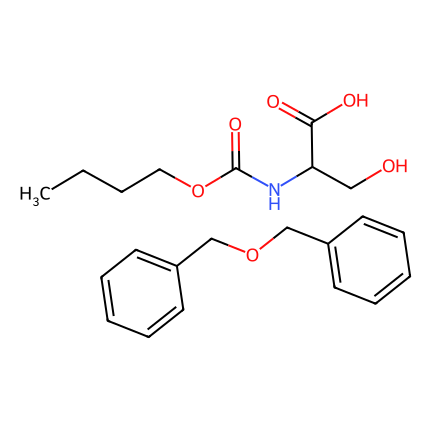 CCCCOC(=O)NC(CO)C(=O)O.c1ccc(COCc2ccccc2)cc1